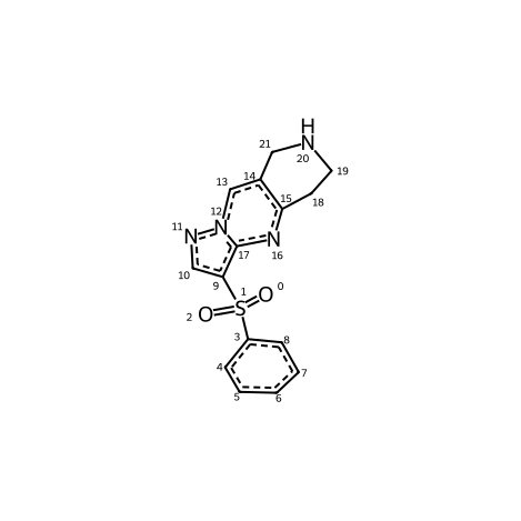 O=S(=O)(c1ccccc1)c1cnn2cc3c(nc12)CCNC3